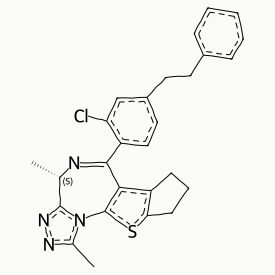 Cc1nnc2n1-c1sc3c(c1C(c1ccc(CCc4ccccc4)cc1Cl)=N[C@H]2C)CCC3